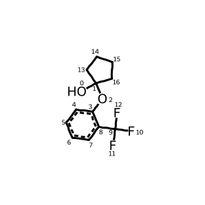 OC1(Oc2ccccc2C(F)(F)F)CCCC1